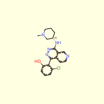 CN1CCC[C@H](Nc2nnc(-c3c(O)cccc3Cl)c3ccncc23)C1